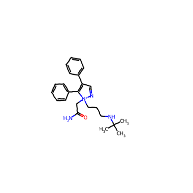 CC(C)(C)NCCC[N+]1(CC(N)=O)N=CC(c2ccccc2)=C1c1ccccc1